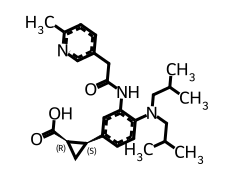 Cc1ccc(CC(=O)Nc2cc([C@H]3C[C@H]3C(=O)O)ccc2N(CC(C)C)CC(C)C)cn1